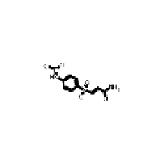 NC(=O)C=CS(=O)(=O)c1ccc(N[PH2](Cl)Cl)cc1